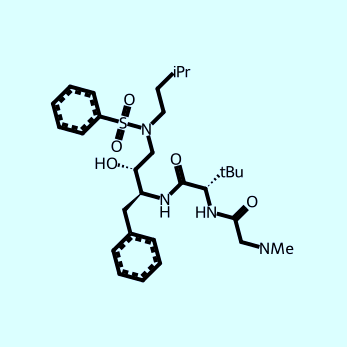 CNCC(=O)N[C@H](C(=O)N[C@@H](Cc1ccccc1)[C@H](O)CN(CCC(C)C)S(=O)(=O)c1ccccc1)C(C)(C)C